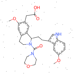 COc1ccc2[nH]cc(CCC3c4cc(CC(=O)O)c(OC)cc4CCN3C(=O)N3CCOCC3)c2c1